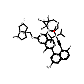 CC(C)[Si](C#Cc1c(F)ccc2cc(N)cc(-c3ncc4c(N5CCOC[C@H]6[C@H](F)[C@H]65)nc(OC[C@@]56CC[C@@H](C)N5C[C@H](F)C6)nc4c3F)c12)(C(C)C)C(C)C